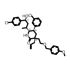 C=CC[C@]1(CCOCc2ccc(OC)cc2)C[C@H](c2cccc(Cl)c2)[C@H](C(C)C[C@H](O)c2ccc(Cl)cc2)NC1=O